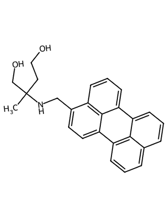 CC(CO)(CCO)NCc1ccc2c3cccc4cccc(c5cccc1c52)c43